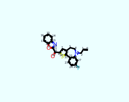 C=CCN1CCc2cc(C(=O)c3nc4ccccc4o3)sc2-c2ccc(F)cc21